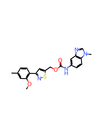 COc1cc(C)ccc1-c1cc(COC(=O)Nc2ccc3c(c2)ncn3C)sn1